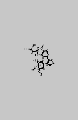 COc1ccc(-c2oncc2-c2cc(OC)c(OC)c(OC)c2)cc1NC(=O)CC(N)O